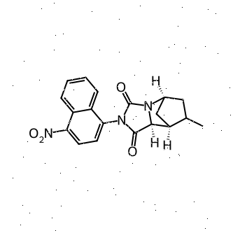 CC1C[C@H]2C[C@@H]1[C@H]1C(=O)N(c3ccc([N+](=O)[O-])c4ccccc34)C(=O)N21